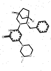 C[C@@H]1CN(c2cc(N3C[C@@H]4CC[C@@H](C4)[C@H]3Cc3ccccc3)[nH]c(=O)c2)CCO1